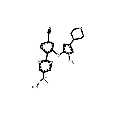 Cn1nc(C2CCOCC2)cc1Oc1cc(C#N)ccc1-c1ncc([C@H](F)CN)cn1